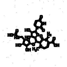 CN1C(=O)[C@H]([C@H](O[C@@H]2O[C@H](CNC(=O)O)[C@@H](O)[C@H]2O)[C@H]2O[C@@H](n3ccc(=O)[nH]c3=O)[C@H](O)[C@@H]2O)N(C)CC=C1C(=O)O